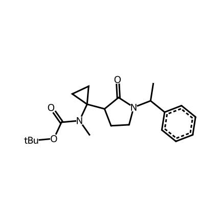 CC(c1ccccc1)N1CCC(C2(N(C)C(=O)OC(C)(C)C)CC2)C1=O